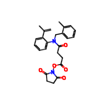 C=C(C)c1ccccc1N(Cc1ccccc1C)C(=O)CCC(=O)ON1C(=O)CCC1=O